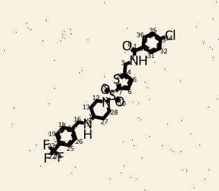 O=C(NCc1ccc(S(=O)(=O)N2CCC(NCc3ccc(C(F)(F)F)cc3)CC2)s1)c1ccc(Cl)cc1